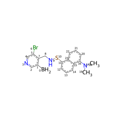 Bc1cncc(Br)c1CNSc1cccc2c(N(C)C)cccc12